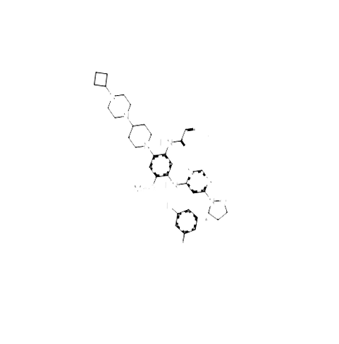 C=CC(=O)Nc1cc(Nc2cc(N3OCC[C@@H]3c3cc(F)cc(F)c3)ncn2)c(OC)cc1N1CCC(N2CCN(C3CCC3)CC2)CC1